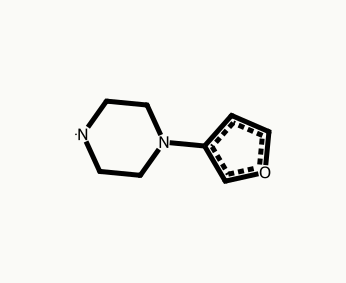 c1cc(N2CC[N]CC2)co1